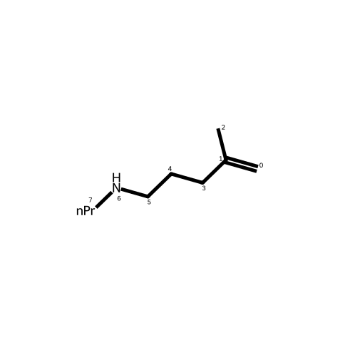 C=C(C)CCCNCCC